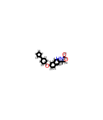 C[C@]1(c2ccc3cc(OC4CCC(C5CCCC5)CC4)ccc3c2)COC(=O)N1